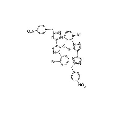 O=[N+]([O-])c1ccc(Cn2nnc(-c3cnn(-c4ccccc4Br)c3SSc3c(-c4nnn(Cc5ccc([N+](=O)[O-])cc5)n4)cnn3-c3ccccc3Br)n2)cc1